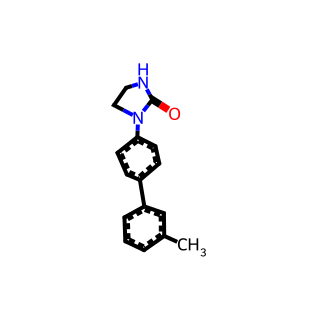 Cc1cccc(-c2ccc(N3CCNC3=O)cc2)c1